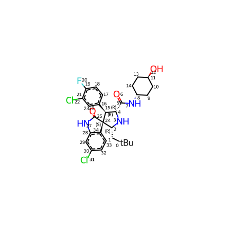 CC(C)(C)C[C@H]1N[C@@H](C(=O)N[C@H]2CC[C@H](O)CC2)[C@H](c2ccc(F)c(Cl)c2)[C@@]12C(=O)Nc1cc(Cl)ccc12